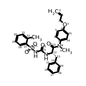 C=CCOc1ccc(N(C)C(=O)[C@H](Cc2ccccc2)NC(=O)NS(=O)(=O)c2ccccc2C)cc1